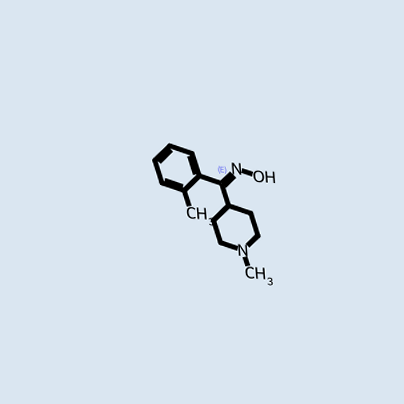 Cc1ccccc1/C(=N/O)C1CCN(C)CC1